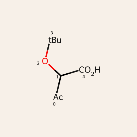 CC(=O)C(OC(C)(C)C)C(=O)O